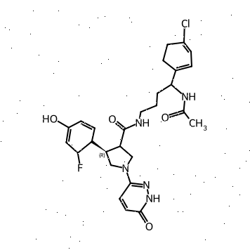 CC(=O)NC(CCCNC(=O)C1CN(c2ccc(=O)[nH]n2)C[C@H]1C1C=CC(O)=CC1F)C1=CC=C(Cl)CC1